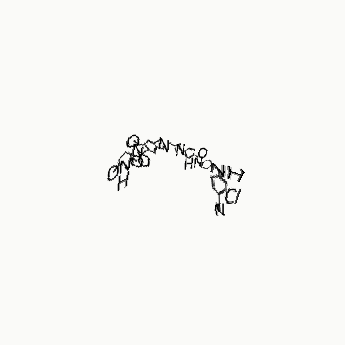 N#Cc1ccc(N[C@H]2CC[C@H](NC(=O)c3ccc(N4CC(CN5Cc6cc7c(cc6C5)C(=O)N(C5CCC(=O)NC5=O)C7=O)C4)cc3)CC2)cc1Cl